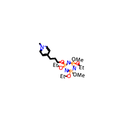 CCOP1(OC)=NP(OC)(OCC)=NP(OCC)(OCCCc2cc[n+](C)cc2)=N1